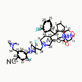 COC(=O)N[C@H]1CCC[C@@H]1[C@](CN1CCOCC1)(c1cccc(F)c1)C1CCN(CC2(F)CN(c3cc(CN(C)C)c(C#N)cc3F)C2)CC1